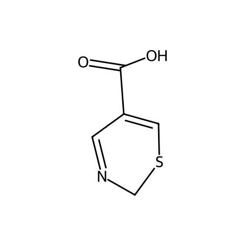 O=C(O)C1=CSCN=C1